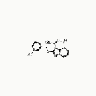 CC(=O)c1cccc(CSc2nc3ccccc3n2C(C(=O)O)C(C)(C)C)c1